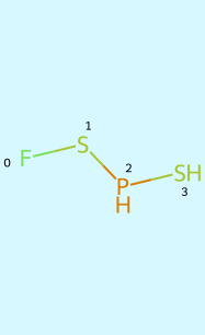 FSPS